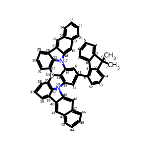 CC1(C)c2ccccc2-c2c(-c3cc4c5c(c3)-n3c6cc7ccccc7cc6c6cccc(c63)B5c3cccc5c6cc7ccccc7cc6n-4c35)cccc21